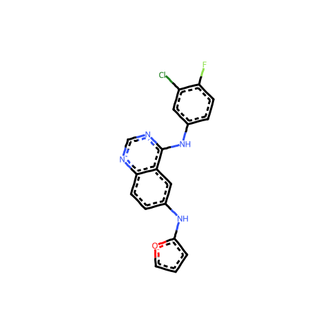 Fc1ccc(Nc2ncnc3ccc(Nc4ccco4)cc23)cc1Cl